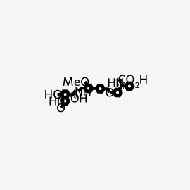 COc1cc(-c2ccc(COc3cccc([C@@H](NC(=O)O)c4ccccc4)c3)cc2)ccc1CNC[C@H](O)c1ccc(O)c2[nH]c(=O)ccc12